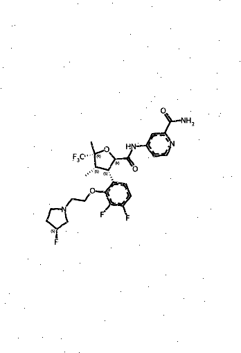 C[C@H]1[C@@H](c2ccc(F)c(F)c2OCCN2CC[C@H](F)C2)[C@H](C(=O)Nc2ccnc(C(N)=O)c2)O[C@@]1(C)C(F)(F)F